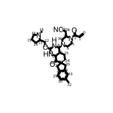 C=CC(=O)N1CCN(C2NC(OCC3CCCN3C)NC3C(=O)[C@@]4(CCC32)Cc2ccc(C)cc2C4)CC1CC#N